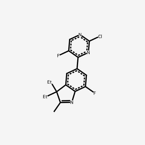 CCC1(CC)C(C)=Nc2c(F)cc(-c3nc(Cl)ncc3F)cc21